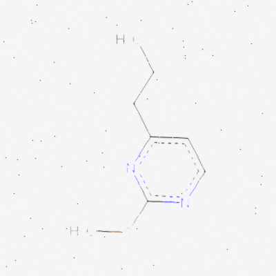 CCCc1ccnc(SC)n1